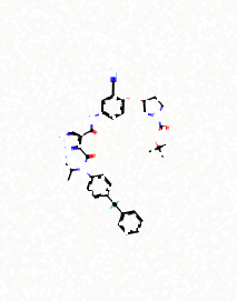 CC1Cn2ncc(C(=O)Nc3ccc(OC4CCN(C(=O)OC(C)(C)C)C4)c(C#N)c3)c2C(=O)N1c1ccc(C(F)(F)c2ccccc2)cc1